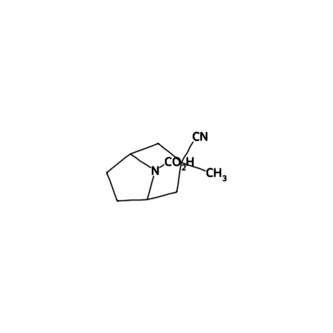 CC1(C#N)CC2CCC(C1)N2C(=O)O